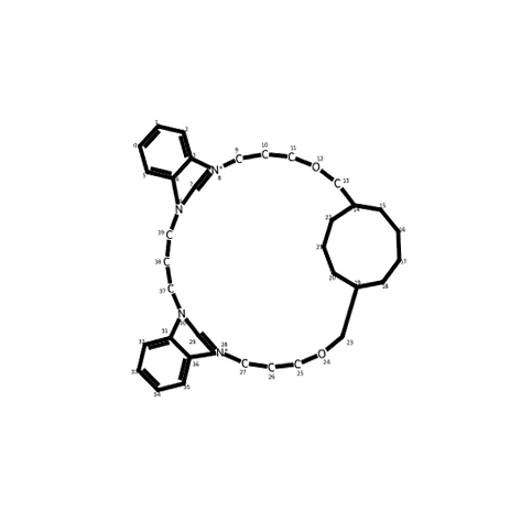 c1ccc2c(c1)n1c[n+]2CCCOCC2CCCCC(CCC2)COCCC[n+]2cn(c3ccccc32)CCC1